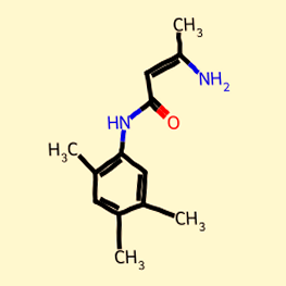 C/C(N)=C/C(=O)Nc1cc(C)c(C)cc1C